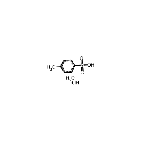 Cc1ccc(S(=O)(=O)O)cc1.Cl.O